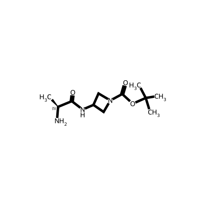 C[C@H](N)C(=O)NC1CN(C(=O)OC(C)(C)C)C1